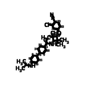 CC(C)Nc1ccc(-c2ccc(C(=O)N[C@H]3C(C)(C)[C@H](Oc4ccc(C#N)c(Cl)c4)C3(C)C)cc2)cc1